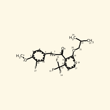 COc1ccc(CNC(=O)c2c(C(F)(F)F)ccnc2OCC(C)C)cc1F